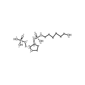 O=P(O)(O)OC[C@H]1OCC[C@@H]1OP(=O)(O)OCCCCCCO